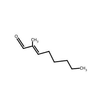 CCCCC/C=C(\C)C=O